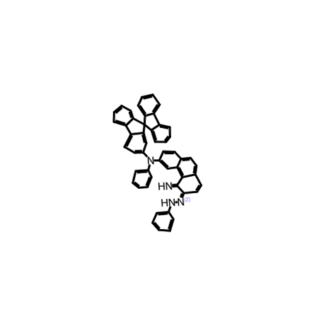 N=C1/C(=N\Nc2ccccc2)C=Cc2ccc3ccc(N(c4ccccc4)c4ccc5c(c4)C4(c6ccccc6-c6ccccc64)c4ccccc4-5)cc3c21